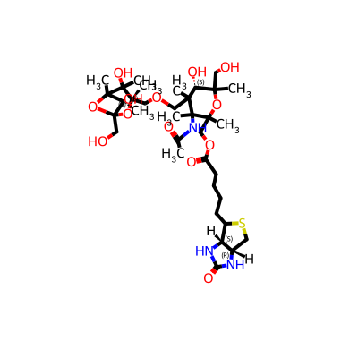 CC(=O)NC1(C)C(C)(COC(=O)CCCCC2SC[C@@H]3NC(=O)N[C@H]23)OC(C)(CO)[C@@H](O)C1(C)COC[C@]1(C)OC2(CO)OC(C)(C1(C)O)[C@@]2(C)O